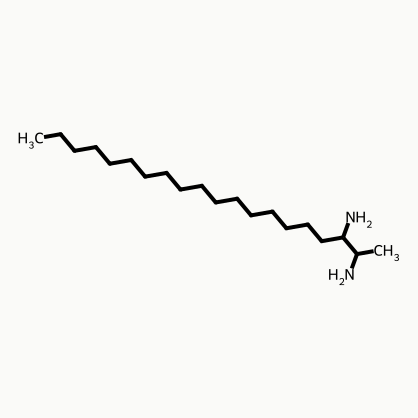 CCCCCCCCCCCCCCCCCC(N)C(C)N